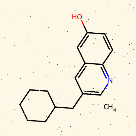 C.Oc1ccc2ncc(CC3CCCCC3)cc2c1